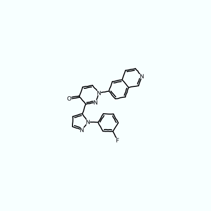 O=c1ccn(-c2ccc3cnccc3c2)nc1-c1ccnn1-c1cccc(F)c1